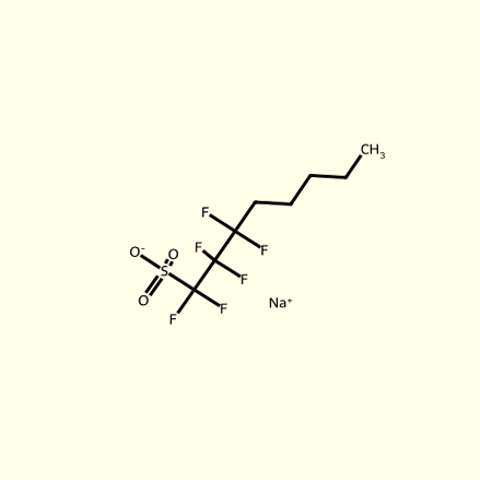 CCCCCC(F)(F)C(F)(F)C(F)(F)S(=O)(=O)[O-].[Na+]